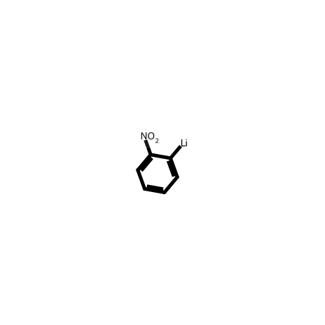 [Li][c]1ccccc1[N+](=O)[O-]